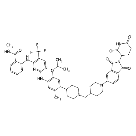 CNC(=O)c1ccccc1Nc1nc(Nc2cc(C)c(C3CCN(CC4CCN(c5ccc6c(c5)C(=O)N(C5CCC(=O)NC5=O)C6=O)CC4)CC3)cc2OC(C)C)ncc1C(F)(F)F